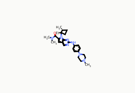 CCC1(n2c(C(=O)N(C)C)cc3cnc(Nc4ccc(N5CCN(C)CC5)cc4)nc32)CC[C@H]1C